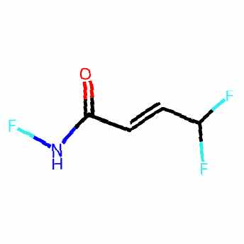 O=C(C=CC(F)F)NF